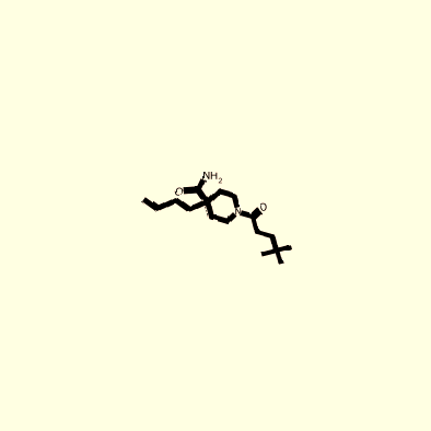 CCCCC1(C(N)=O)CCN(C(=O)CCC(C)(C)C)CC1